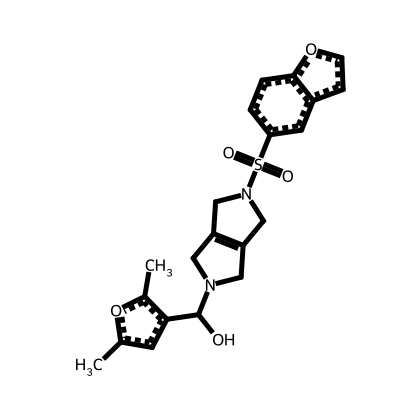 Cc1cc(C(O)N2CC3=C(C2)CN(S(=O)(=O)c2ccc4occc4c2)C3)c(C)o1